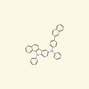 c1ccc(N(c2ccc(-c3ccc4ccccc4c3)cc2)c2ccc3c(c2)c2ccc4ccccc4c2n3-c2ccccc2)cc1